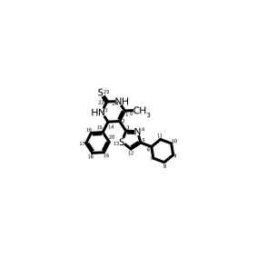 CC1=C(c2nc(C3CCCCC3)cs2)C(c2ccccc2)NC(=S)N1